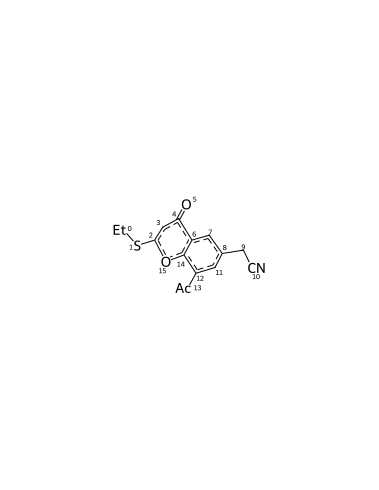 CCSc1cc(=O)c2cc(CC#N)cc(C(C)=O)c2o1